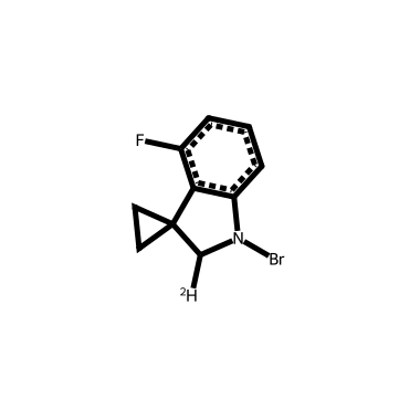 [2H]C1N(Br)c2cccc(F)c2C12CC2